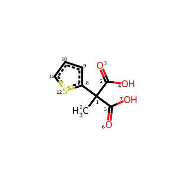 CC(C(=O)O)(C(=O)O)c1cccs1